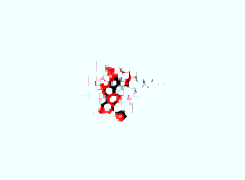 COC(=O)C[C@H]1C(C)(C)[C@H](OC(=O)C(C)C)[C@]2(O)C(=O)[C@@H](O)[C@]3(O)[C@@H]4CC(=O)O[C@@H](c5ccco5)[C@]4(C)C[C@@H](OC(C)=O)[C@@H]3[C@]12C